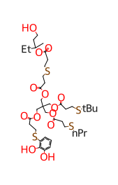 CCCSCCC(=O)OCC(COC(=O)CCSCCC(=O)OC(C)(CC)CCO)(COC(=O)CCSc1cccc(O)c1O)COC(=O)CCSC(C)(C)C